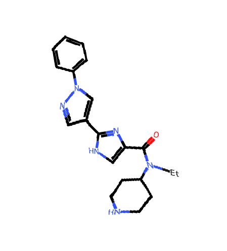 CCN(C(=O)c1c[nH]c(-c2cnn(-c3ccccc3)c2)n1)C1CCNCC1